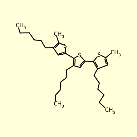 CCCCCCc1cc(-c2sc(-c3sc(C)cc3CCCCCC)cc2CCCCCC)sc1C